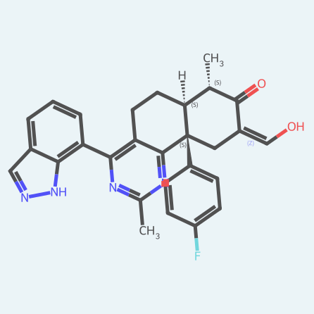 Cc1nc(-c2cccc3cn[nH]c23)c2c(n1)[C@@]1(c3ccc(F)cc3)C/C(=C/O)C(=O)[C@@H](C)[C@@H]1CC2